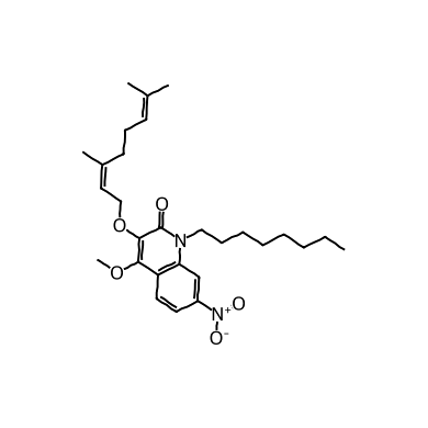 CCCCCCCCn1c(=O)c(OCC=C(C)CCC=C(C)C)c(OC)c2ccc([N+](=O)[O-])cc21